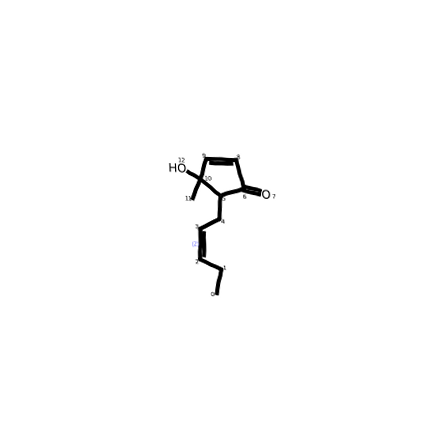 CC/C=C\CC1C(=O)C=CC1(C)O